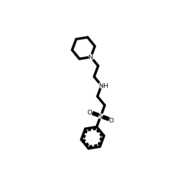 O=S(=O)(CCNCCN1CCCCC1)c1ccccc1